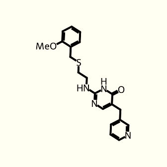 COc1ccccc1CSCCNc1ncc(Cc2cccnc2)c(=O)[nH]1